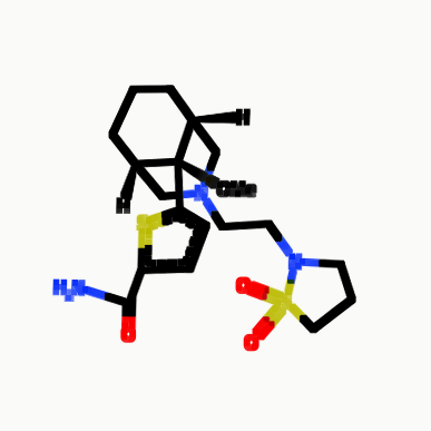 CO[C@]1(c2ccc(C(N)=O)s2)[C@@H]2CCC[C@H]1CN(CCN1CCCS1(=O)=O)C2